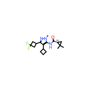 Cn1nc(C2CC(F)(F)C2)c(C2CCC2)c1NC(=O)[C@H]1CC1(C)C